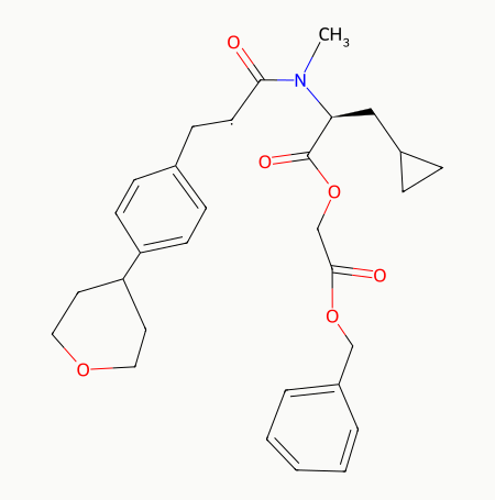 CN(C(=O)[CH]Cc1ccc(C2CCOCC2)cc1)[C@@H](CC1CC1)C(=O)OCC(=O)OCc1ccccc1